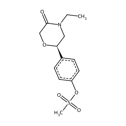 CCN1C[C@@H](c2ccc(OS(C)(=O)=O)cc2)OCC1=O